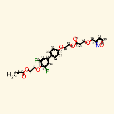 C=CC(=O)OCCOc1c(F)cc(-c2ccc(OCCOC(=O)CCOCc3ccon3)cc2)cc1F